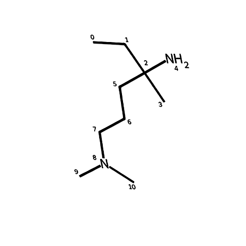 CCC(C)(N)CCCN(C)C